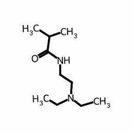 CCN(CC)CCNC(=O)C(C)C